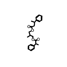 CC(COC(=O)CC(C)c1ccccc1)COC(=O)C(C)c1ccccc1